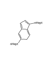 CCCCCCCC1=CC2=CC=C(CCCCCCC)C2=CC1